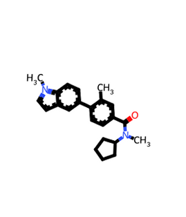 Cc1cc(C(=O)N(C)C2CCCC2)ccc1-c1ccc2c(ccn2C)c1